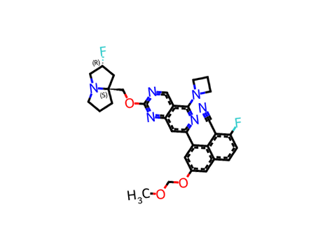 COCOc1cc(-c2cc3nc(OC[C@@]45CCCN4C[C@H](F)C5)ncc3c(N3CCC3)n2)c2c(C#N)c(F)ccc2c1